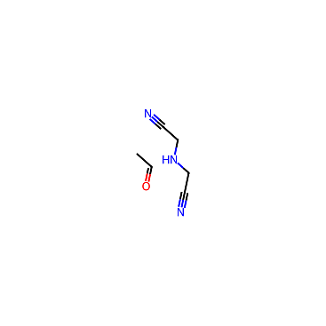 CC=O.N#CCNCC#N